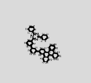 c1ccc(-c2nc(-c3ccccc3)nc(-c3cccc(-c4cccc(-c5ccc6c(c5)c5ccccc5c5c7ccccc7c7ccccc7c65)c4)c3)n2)cc1